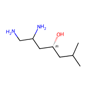 CC(C)C[C@@H](O)CC(N)CN